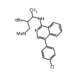 CCCCC(CNC)C(C)Nc1nnc(-c2ccc(Cl)cc2)c2ccccc12